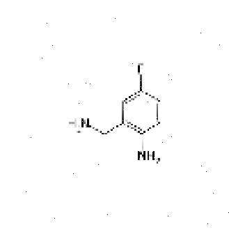 NCc1cc(F)ccc1N